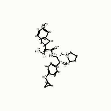 O=C(N[C@H](CN1CCCC1)[C@H](O)c1ccc(OC2CC2)nc1)/C(=N/O)C1Cc2ccc(Cl)cc2C1